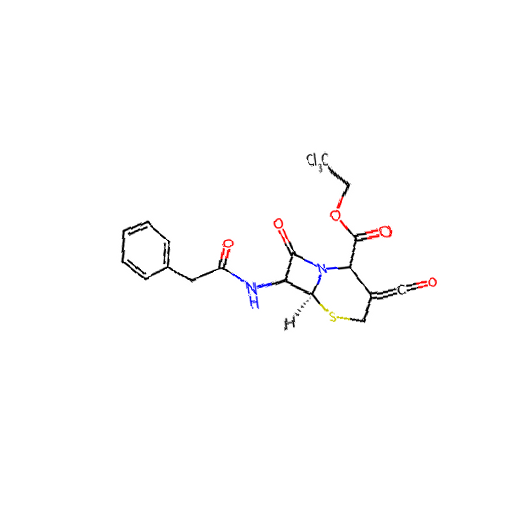 O=C=C1CS[C@H]2C(NC(=O)Cc3ccccc3)C(=O)N2C1C(=O)OCC(Cl)(Cl)Cl